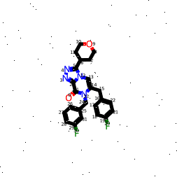 O=c1c2nnc(C3CCOCC3)n2cc(Cc2ccc(F)cc2)n1Cc1cccc(F)c1